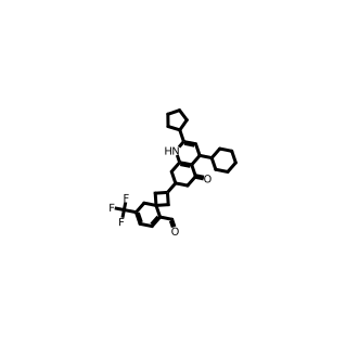 O=CC1=CC=C(C(F)(F)F)CC12CC(C1CC(=O)C3=C(C1)NC(C1CCCC1)=CC3C1CCCCC1)C2